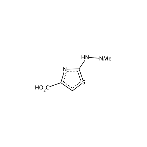 CNNc1nc(C(=O)O)cs1